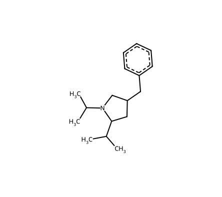 CC(C)C1CC(Cc2ccccc2)CN1C(C)C